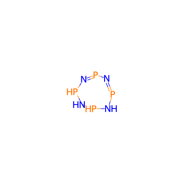 N1=PN=PNPNP1